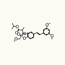 COCP(=O)(NC(C)C(=O)OC(C)C)Oc1ccc(/C=C/c2cc(OC)cc(OC)c2)cc1